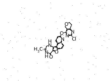 C[C@@H]1CNc2c(oc3ccc4nc(Oc5nc(Cl)nc6c5COCC6)ccc4c23)C(=O)N1